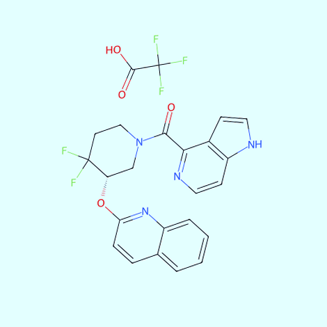 O=C(O)C(F)(F)F.O=C(c1nccc2[nH]ccc12)N1CCC(F)(F)[C@@H](Oc2ccc3ccccc3n2)C1